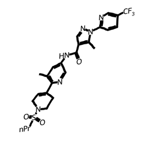 CCCS(=O)(=O)N1CC=C(c2ncc(NC(=O)c3cnn(-c4ccc(C(F)(F)F)cn4)c3C)cc2C)CC1